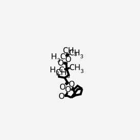 CCC(CC(C)(C)C(=O)OC(C)(C)C)C(=O)OC12CC3CC(C(=O)O1)C2C3